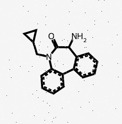 NC1C(=O)N(CC2CC2)c2ccccc2-c2ccccc21